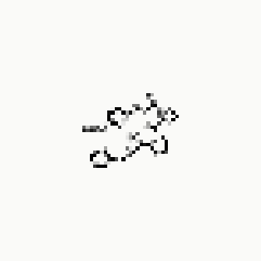 COc1ccc(OCC(=O)N2CCC[C@H]2C(=O)N2CCCC2[C@H](O)COCc2ccccc2)cc1